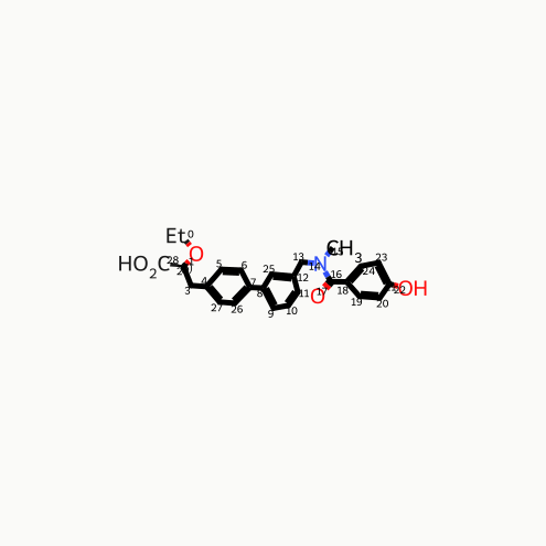 CCO[C@@H](Cc1ccc(-c2cccc(CN(C)C(=O)c3ccc(O)cc3)c2)cc1)C(=O)O